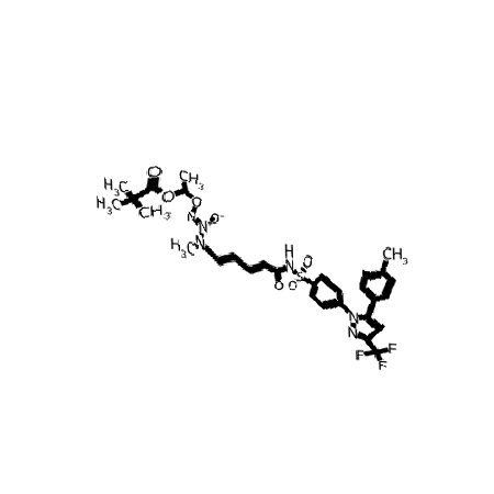 Cc1ccc(-c2cc(C(F)(F)F)nn2-c2ccc(S(=O)(=O)NC(=O)CCCCN(C)[N+]([O-])=NOC(C)OC(=O)C(C)(C)C)cc2)cc1